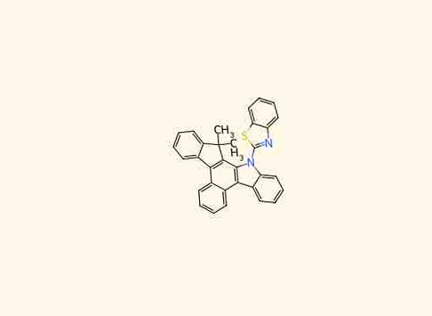 CC1(C)c2ccccc2-c2c1c1c(c3ccccc23)c2ccccc2n1-c1nc2ccccc2s1